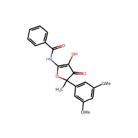 COc1cc(OC)cc(C2(C)OC(NC(=O)c3ccccc3)=C(O)C2=O)c1